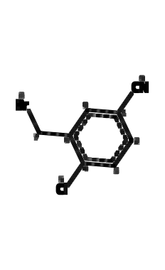 N#Cc1ccc(Cl)c(CBr)c1